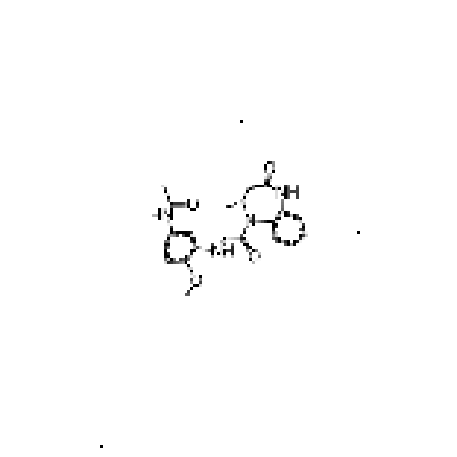 COc1ccc(NC(C)=O)cc1NCC(=O)N1c2ccccc2NC(=O)CC1C